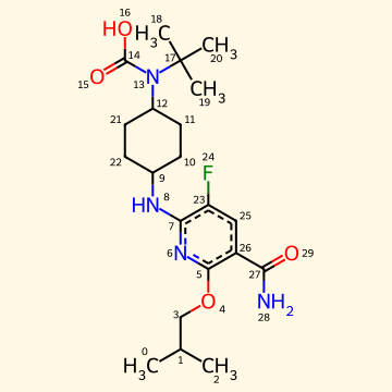 CC(C)COc1nc(NC2CCC(N(C(=O)O)C(C)(C)C)CC2)c(F)cc1C(N)=O